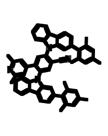 Cc1cc(C)c(-c2ccc3c4ccccc4n(-c4cc(-c5cc(C)nc(C)c5)c(-n5c6ccccc6c6ccc(-c7c(C)cc(C)cc7C)cc65)cc4C#N)c3c2)c(C)c1